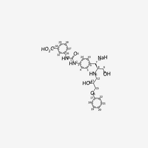 O=C(Nc1ccc(C[C@@H](CO)NC[C@H](O)COc2ccccc2)cc1)Nc1cccc(C(=O)O)c1.[NaH]